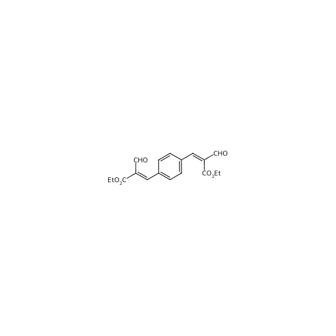 CCOC(=O)C(C=O)=Cc1ccc(C=C(C=O)C(=O)OCC)cc1